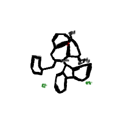 CC1C=C(C(C)(C)C)C=[C]1[Zr+2](=[C](Cc1ccccc1)Cc1ccccc1)[CH]1c2ccccc2-c2ccccc21.[Cl-].[Cl-]